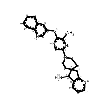 Nc1nc(N2CCC3(CC2)Cc2ncccc2[C@H]3N)cnc1Sc1cnc2ccccc2c1